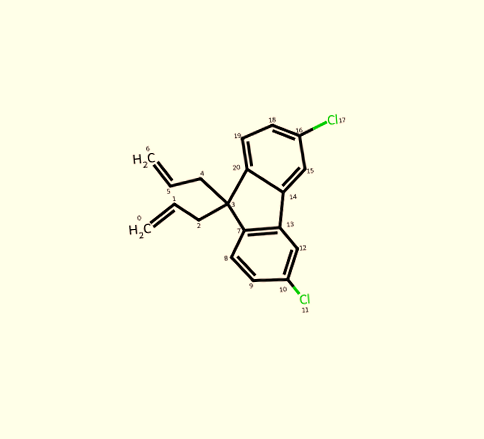 C=CCC1(CC=C)c2ccc(Cl)cc2-c2cc(Cl)ccc21